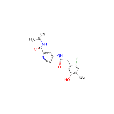 C[C@H](C#N)NC(=O)c1cc(NC(=O)Cc2cc(O)c(C(C)(C)C)cc2F)ccn1